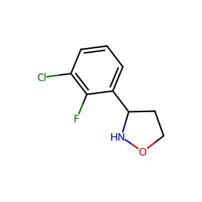 Fc1c(Cl)cccc1C1CCON1